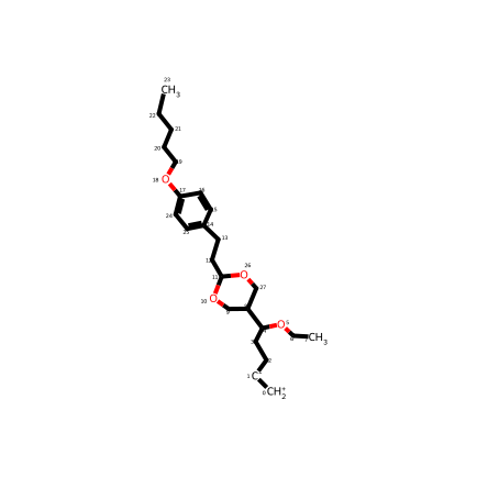 [CH2+][CH-]CCC(OCC)C1COC(CCc2ccc(OCCCCC)cc2)OC1